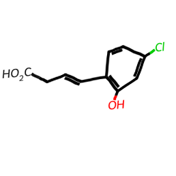 O=C(O)CC=Cc1ccc(Cl)cc1O